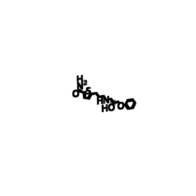 NC(=O)c1ccc(CCCNC[C@H](O)COc2ccccc2)s1